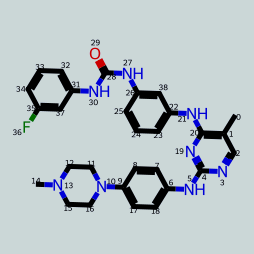 Cc1cnc(Nc2ccc(N3CCN(C)CC3)cc2)nc1Nc1cccc(NC(=O)Nc2cccc(F)c2)c1